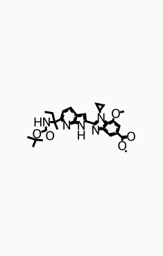 CCC(C)(NC(=O)OC(C)(C)C)c1ccc2cc(-c3nc4cc(C(=O)OC)cc(OC)c4n3C3CC3)[nH]c2n1